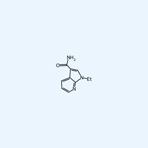 CCn1cc(C(N)=O)c2cccnc21